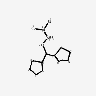 CCN(CC)[SiH2]OC(C1CCCC1)C1CCCC1